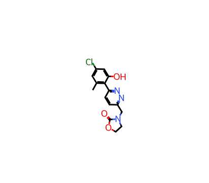 Cc1cc(Cl)cc(O)c1-c1ccc(CN2CCOC2=O)nn1